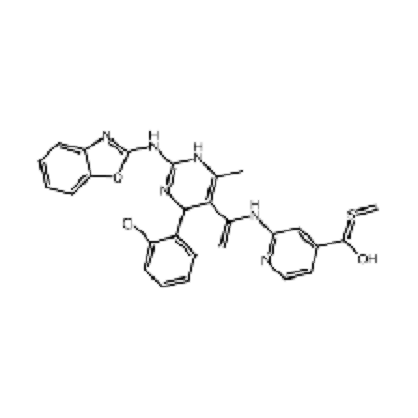 C=S=C(O)c1ccnc(NC(=C)C2=C(C)NC(Nc3nc4ccccc4o3)=NC2c2ccccc2Cl)c1